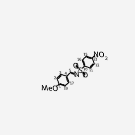 COc1ccc(/C=N/S(=O)(=O)c2ccc([N+](=O)[O-])cc2)cc1